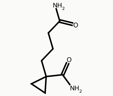 NC(=O)CCCC1(C(N)=O)CC1